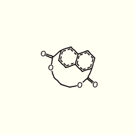 O=C1OCCCOC(=O)c2ccc3cc1ccc3c2